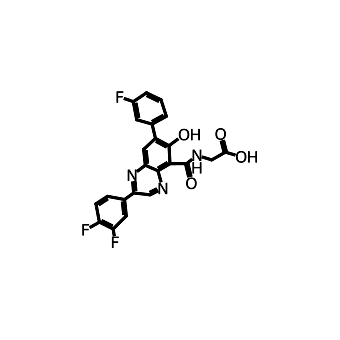 O=C(O)CNC(=O)c1c(O)c(-c2cccc(F)c2)cc2nc(-c3ccc(F)c(F)c3)cnc12